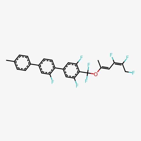 C/C(=C\C(F)=C(\F)CF)OC(F)(F)c1c(F)cc(-c2ccc(-c3ccc(C)cc3)cc2F)cc1F